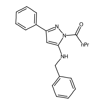 CCCC(=O)n1nc(-c2ccccc2)cc1NCc1ccccc1